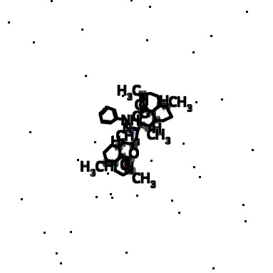 C[C@H]1[C@@H](/C(C[C@H]2O[C@@H]3C[C@]4(C)CC[C@H]5[C@H](C)CC[C@@H]([C@H]2C)[C@@]35OO4)=N\Nc2ccccc2)O[C@@H]2C[C@]3(C)CC[C@H]4[C@H](C)CC[C@@H]1[C@@]24OO3